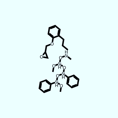 CO[SiH](O[SiH](C)CCCc1ccccc1OCC1CO1)O[SiH](O[SiH](OC)c1ccccc1)c1ccccc1